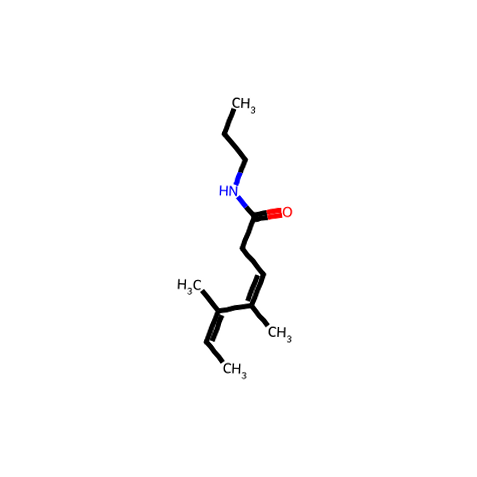 C/C=C(C)\C(C)=C/CC(=O)NCCC